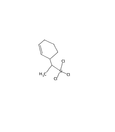 CC(C1C=CCCC1)[Si](Cl)(Cl)Cl